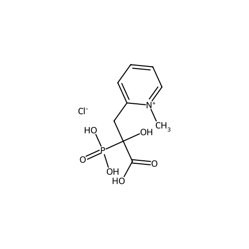 C[n+]1ccccc1CC(O)(C(=O)O)P(=O)(O)O.[Cl-]